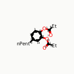 CCCCCc1ccc(OC(=O)CC)c(OC(=O)CC)c1